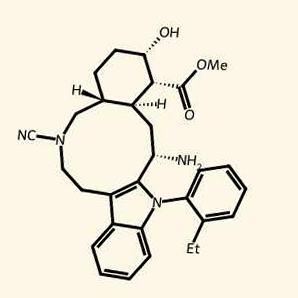 CCc1ccccc1-n1c2c(c3ccccc31)CCN(C#N)C[C@@H]1CC[C@H](O)[C@H](C(=O)OC)[C@H]1C[C@@H]2N